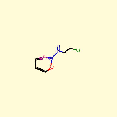 ClCCNN1OC=CC=P1